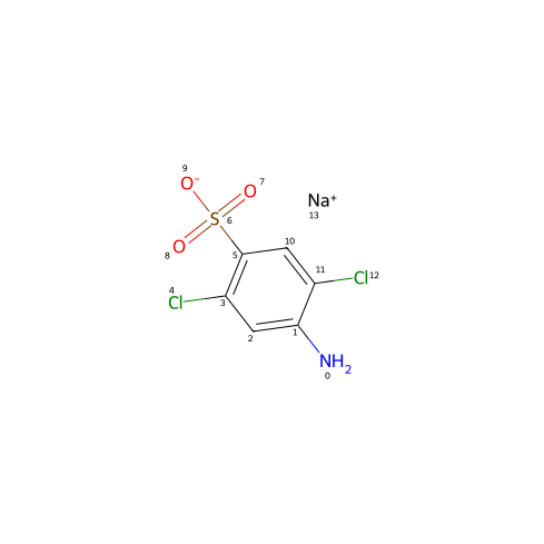 Nc1cc(Cl)c(S(=O)(=O)[O-])cc1Cl.[Na+]